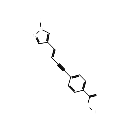 COC(=O)c1ccc(C#CC=Cc2cnn(C)c2)cc1